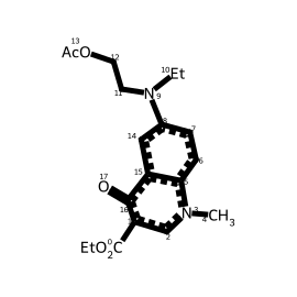 CCOC(=O)c1cn(C)c2ccc(N(CC)CCOC(C)=O)cc2c1=O